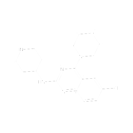 Clc1ccc2nc(NC3CCNCC3)nc(N3CCOCC3)c2c1